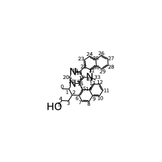 CC1C(CCO)c2ccc3ccccc3c2-c2c3c(nc[n+]21)c1ccc2ccccc2c1n3C